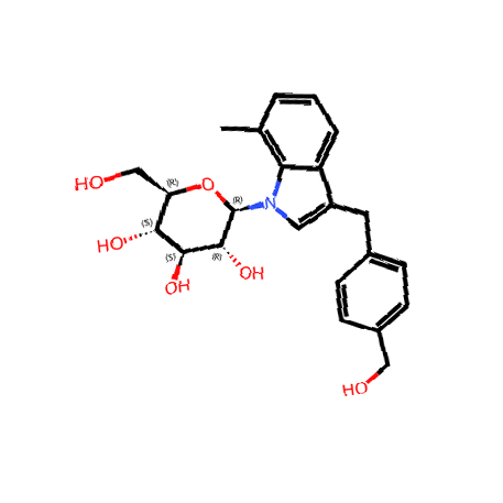 Cc1cccc2c(Cc3ccc(CO)cc3)cn([C@@H]3O[C@H](CO)[C@@H](O)[C@H](O)[C@H]3O)c12